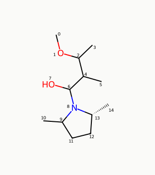 COC(C)C(C)C(O)N1C(C)CC[C@H]1C